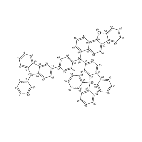 c1ccc(-n2c3ccccc3c3cc(-c4ccc(N(c5ccc6c(c5)C(c5ccccc5)(c5ccccc5)c5ccccc5-6)c5cccc6c5ccc5c7ccccc7oc65)cc4)ccc32)cc1